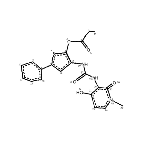 CCC(=O)Oc1sc(-c2ccccc2)cc1NC(=O)Nc1c(O)ccn(C)c1=O